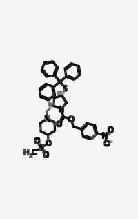 CS(=O)(=O)OC1CCN(C[C@@H]2C[C@H](SC(c3ccccc3)(c3ccccc3)c3ccccc3)CN2C(=O)OCc2ccc([N+](=O)[O-])cc2)CC1